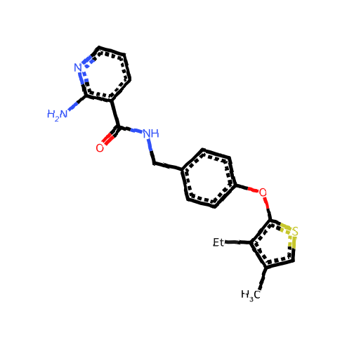 CCc1c(C)csc1Oc1ccc(CNC(=O)c2cccnc2N)cc1